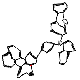 c1ccc(-c2cccc3cccc(-c4cccc(-c5ccc(N(c6ccc7c(c6)oc6ccccc67)c6cccc7ccccc67)cc5)c4)c23)cc1